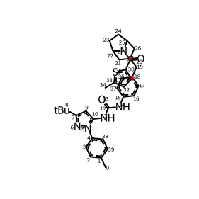 Cc1ccc(-n2nc(C(C)(C)C)cc2NC(=O)Nc2ccc(CC3CC4CCC(C3)N4C(=O)c3ccc(C)s3)cc2)cc1